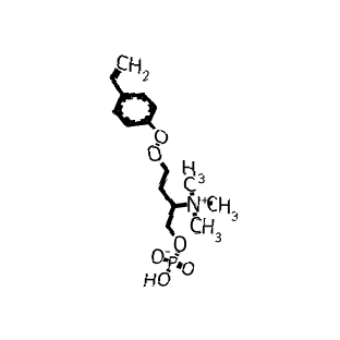 C=Cc1ccc(OOCCC(COP(=O)([O-])O)[N+](C)(C)C)cc1